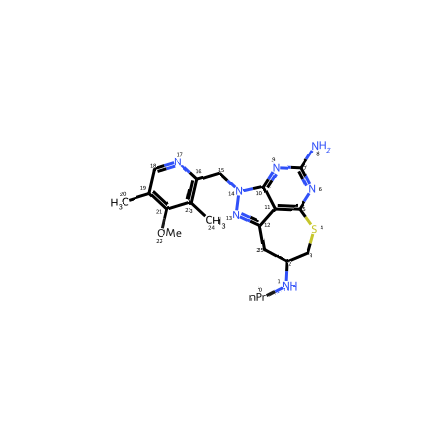 CCCNC1CSc2nc(N)nc3c2c(nn3Cc2ncc(C)c(OC)c2C)C1